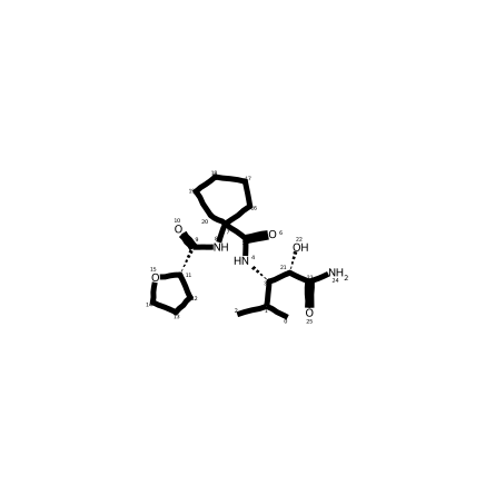 CC(C)[C@H](NC(=O)C1(NC(=O)[C@@H]2CCCO2)CCCCC1)[C@H](O)C(N)=O